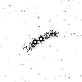 CC(C)(C)OC(=O)N1CCN(c2ccc(-c3ccc4nc(N)sc4c3)cc2)CC1